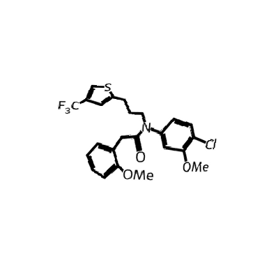 COc1cc(N(CCCc2cc(C(F)(F)F)cs2)C(=O)Cc2ccccc2OC)ccc1Cl